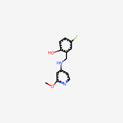 COc1cc(NCc2cc(F)ccc2O)ccn1